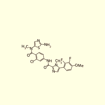 COc1ccc(-c2cnc(C(=O)Nc3ccc(C(=O)N(C)c4cnc(N)s4)c(Cl)c3)n2C)c(F)c1F